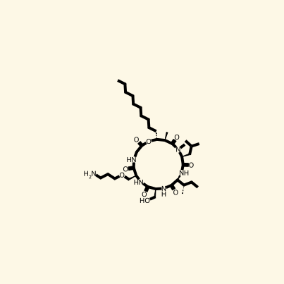 CCCCCCCCCC[C@H]1OC(=O)CNC(=O)[C@H](COCCCN)NC(=O)[C@H](CO)NC(=O)[C@H]([C@@H](C)CC)NC(=O)[C@H](CC(C)C)N(C)C(=O)[C@@H]1C